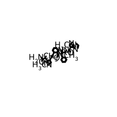 Cc1nn2cccnc2c1C(=O)N[C@@H](C)c1nc2cccc(C#Cc3cnn(C)c3C(C)C(N)=O)c2c(=O)n1-c1ccccc1